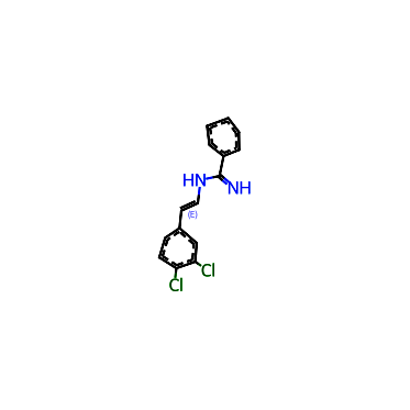 N=C(N/C=C/c1ccc(Cl)c(Cl)c1)c1ccccc1